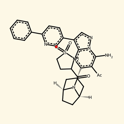 CC(=O)c1c([C@@H]2C[C@H]3CC[C@@H](C2)N3C(=O)C2CCS(=O)(=O)N2)nc2c(-c3ccc(-c4ccccc4)nc3)cnn2c1N